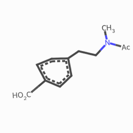 CC(=O)N(C)CCc1ccc(C(=O)O)cc1